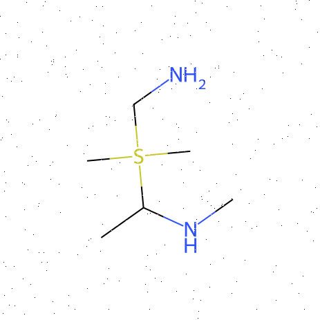 CNC(C)S(C)(C)CN